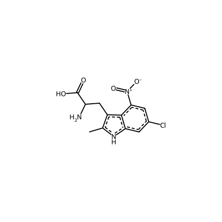 Cc1[nH]c2cc(Cl)cc([N+](=O)[O-])c2c1CC(N)C(=O)O